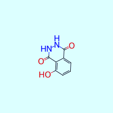 O=c1[nH][nH]c(=O)c2c(O)cccc12